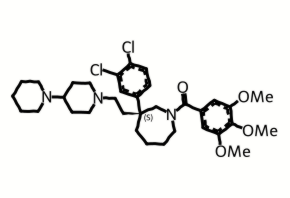 COc1cc(C(=O)N2CCCC[C@](CCN3CCC(N4CCCCC4)CC3)(c3ccc(Cl)c(Cl)c3)C2)cc(OC)c1OC